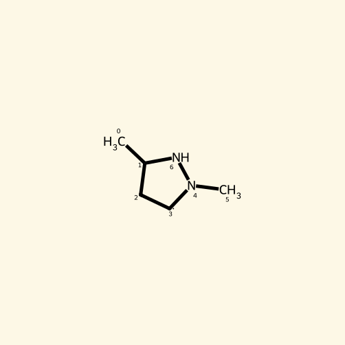 CC1C[CH]N(C)N1